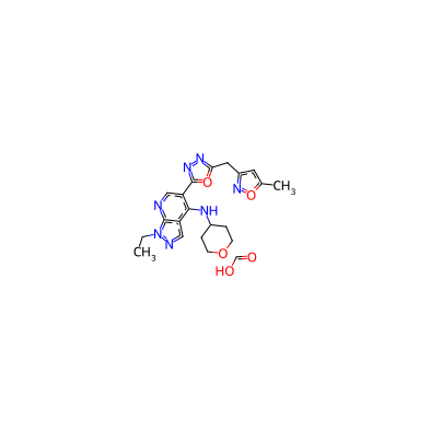 CCn1ncc2c(NC3CCOCC3)c(-c3nnc(Cc4cc(C)on4)o3)cnc21.O=CO